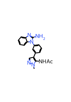 CC(=O)Nc1c(-c2cccc(-n3c(N)nc4ccccc43)c2)cnn1C